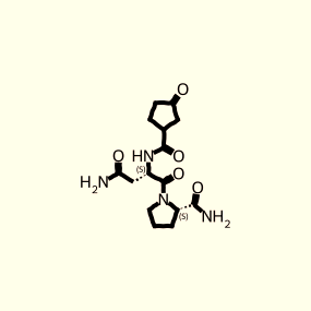 NC(=O)C[C@H](NC(=O)C1CCC(=O)C1)C(=O)N1CCC[C@H]1C(N)=O